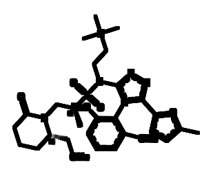 COC[C@@H]1CCCC(=O)N1C[C@H](C)S(=O)(=O)N(CC[Si](C)(C)C)c1nnc(-c2ccc(C)o2)n1-c1c(OC)cccc1OC